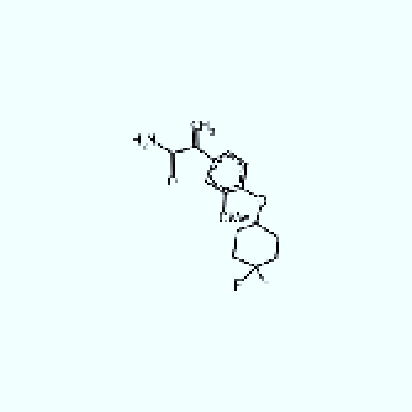 C=C(C(N)=O)c1ccc(OC2CCC(F)(F)CC2)c(OC)c1